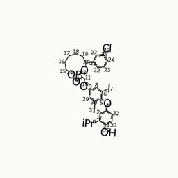 CC(C)c1cc(Oc2c(I)cc(OCP3(=O)OCCCCC[C@@H](c4cccc(Cl)c4)O3)cc2I)ccc1O